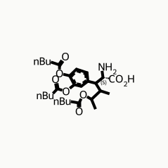 CCCCC(=O)Oc1ccc(C(C(C)C(C)OC(=O)CCCC)[C@H](N)C(=O)O)cc1OC(=O)CCCC